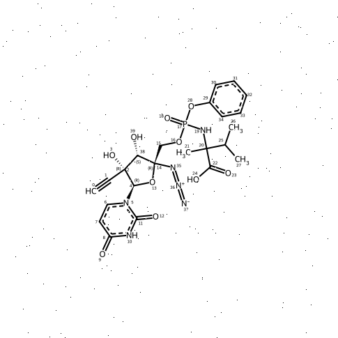 C#C[C@]1(O)[C@H](n2ccc(=O)[nH]c2=O)O[C@@](COP(=O)(NC(C)(C(=O)O)C(C)C)Oc2ccccc2)(N=[N+]=[N-])[C@H]1O